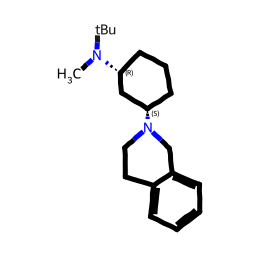 CN([C@@H]1CCC[C@H](N2CCc3ccccc3C2)C1)C(C)(C)C